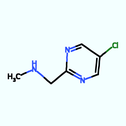 CNCc1ncc(Cl)cn1